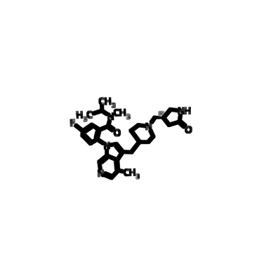 Cc1cncc2c1c(CC1CCN(C[C@H]3CNC(=O)C3)CC1)cn2-c1ccc(F)cc1C(=O)N(C)C(C)C